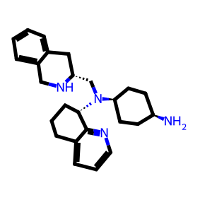 N[C@H]1CC[C@@H](N(C[C@H]2Cc3ccccc3CN2)[C@H]2CCCc3cccnc32)CC1